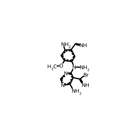 COc1cc(N)c(C=N)cc1N(N)c1ncnc(N)c1C(=N)Br